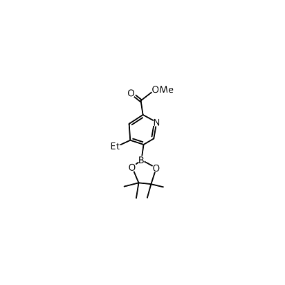 CCc1cc(C(=O)OC)ncc1B1OC(C)(C)C(C)(C)O1